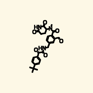 CN(C(=O)c1ccc(CNC(=O)C(=O)c2ccc(C(C)(C)C)cc2)cc1C=O)C1CCC(=O)NC1=O